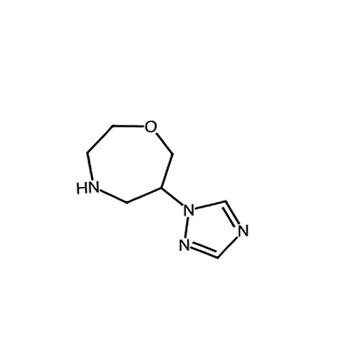 c1ncn(C2CNCCOC2)n1